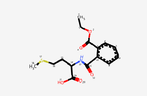 CCOC(=O)c1ccccc1C(=O)NC(CCSC)C(=O)O